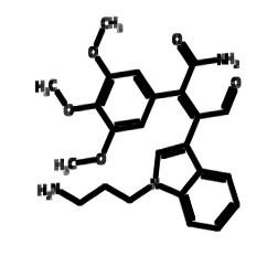 COc1cc(/C(C(N)=O)=C(/C=O)c2cn(CCCN)c3ccccc23)cc(OC)c1OC